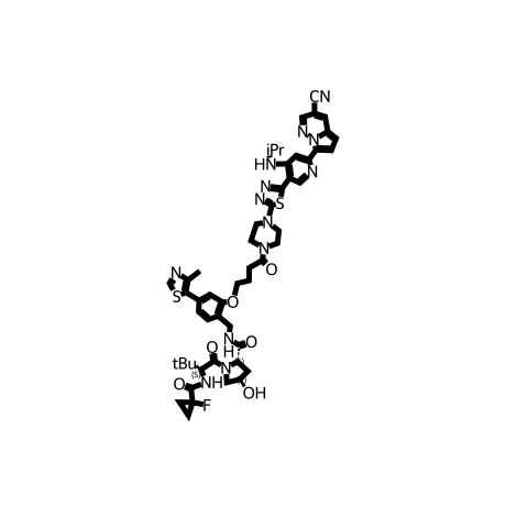 Cc1ncsc1-c1ccc(CNC(=O)[C@@H]2C[C@@H](O)CN2C(=O)[C@@H](NC(=O)C2(F)CC2)C(C)(C)C)c(OCCCC(=O)N2CCN(c3nnc(-c4cnc(-c5ccc6cc(C#N)cnn56)cc4NC(C)C)s3)CC2)c1